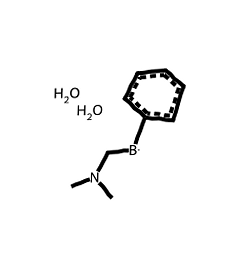 CN(C)C[B]c1ccccc1.O.O